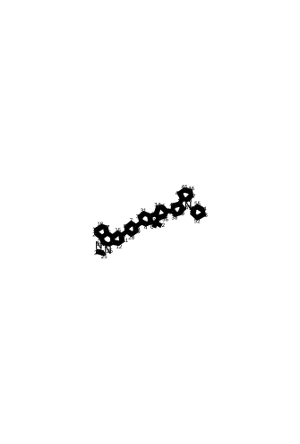 CC1(C)c2cc(-c3ccc(-c4ccc5c(c4)c4ccccc4c4nccnc54)cc3)ccc2-c2ccc(-c3ccc4c(c3)c3ccccc3n4-c3ccccc3)cc21